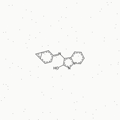 Oc1nn2ccccc2c1/N=c1\ccc2cc-2c1